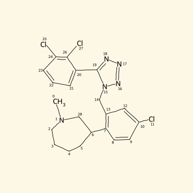 CN1CCCCC(c2ccc(Cl)cc2Cn2nnnc2-c2cccc(Cl)c2Cl)C1